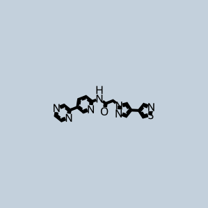 O=C(Cn1cc(-c2cnsc2)cn1)Nc1ccc(-c2cnccn2)cn1